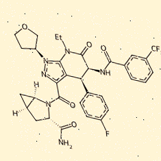 CCN1C(=O)[C@@H](NC(=O)c2cccc(C(F)(F)F)c2)[C@@H](c2ccc(F)cc2)c2c(C(=O)N3[C@@H]4C[C@@H]4C[C@H]3C(N)=O)nn([C@H]3CCOC3)c21